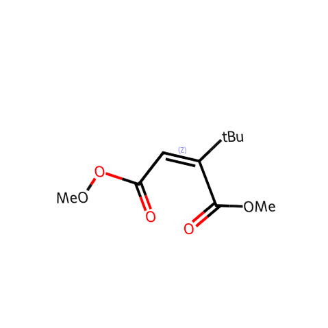 COOC(=O)/C=C(\C(=O)OC)C(C)(C)C